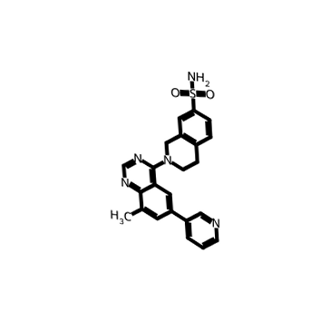 Cc1cc(-c2cccnc2)cc2c(N3CCc4ccc(S(N)(=O)=O)cc4C3)ncnc12